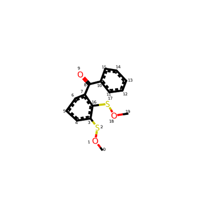 COSc1cccc(C(=O)c2ccccc2)c1SOC